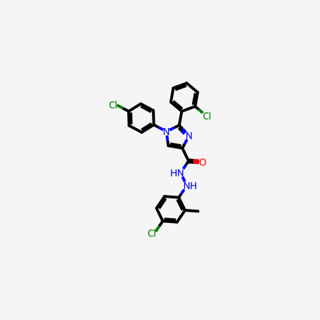 Cc1cc(Cl)ccc1NNC(=O)c1cn(-c2ccc(Cl)cc2)c(-c2ccccc2Cl)n1